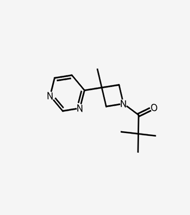 CC(C)(C)C(=O)N1CC(C)(c2ccncn2)C1